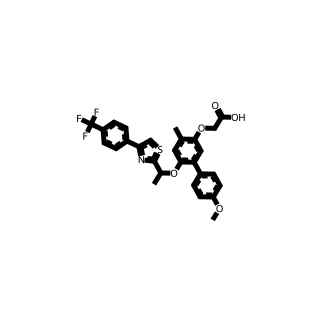 COc1ccc(-c2cc(OCC(=O)O)c(C)cc2OC(C)c2nc(-c3ccc(C(F)(F)F)cc3)cs2)cc1